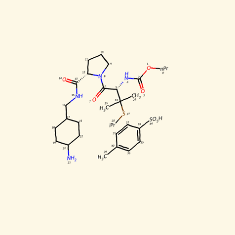 CCCOC(=O)N[C@@H](C(=O)N1CCC[C@H]1C(=O)NCC1CCC(N)CC1)C(C)(C)SC(C)C.Cc1ccc(S(=O)(=O)O)cc1